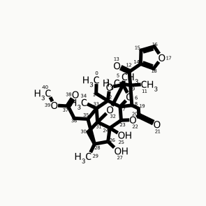 CCC12OC3(C)OC14C(C(C)(C)C(=O)c1ccoc1)CC(=O)OC4C1(O)C(O)C4(C)CC1(O3)C2(C)C4CC(=O)OC